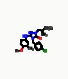 C=C(CN1NC(Nc2ccc(OC(C)C)c(C)c2)N(Cc2ccc(Cl)cc2)C1=O)C(=O)OCC